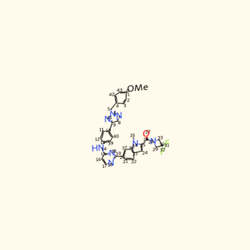 COc1ccc(Cn2ncc(-c3ccc(Nc4ccnc(-c5ccc6cc(C(=O)N7CC(F)(F)C7)n(C)c6c5)n4)cc3)n2)cc1